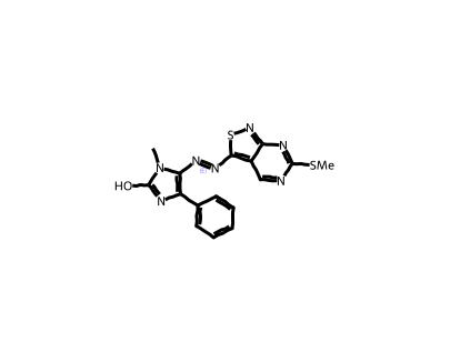 CSc1ncc2c(/N=N/c3c(-c4ccccc4)nc(O)n3C)snc2n1